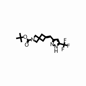 CC(C)(C)OC(=O)N1CC2(CC(=Cc3cc(C(F)(F)F)[nH]n3)C2)C1